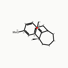 C/N=C1\C2CCCC[C@]1(C)c1cc(OC)ccc1C2